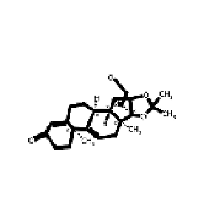 CC1(C)OC2C[C@H]3[C@@H]4CCC5=CC(=O)CC[C@]5(C)C4=CC[C@]3(C)[C@]2(C(=O)CCl)O1